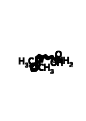 Cc1cccc(C)c1-n1ccc(C=CCN(O)C(N)=O)c1